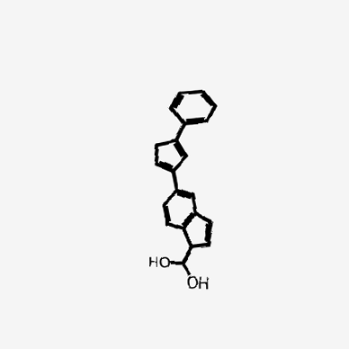 OC(O)C1C=Cc2cc(C3=CCC(c4ccccc4)=C3)ccc21